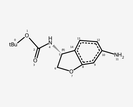 CC(C)(C)OC(=O)N[C@H]1COc2cc(N)ccc21